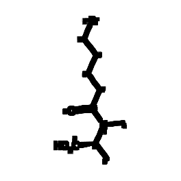 C[C@@H](C(=O)O)N(C)C(=O)CCCCBr